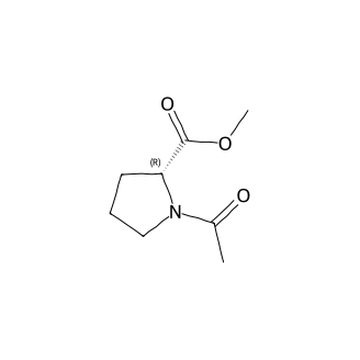 COC(=O)[C@H]1CCCN1C(C)=O